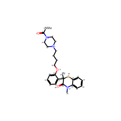 CNC(=O)N1CCN(CCCCOc2ccccc2C2(C(C)C)Sc3ccccc3N(C)C2=O)CC1